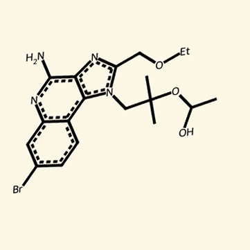 CCOCc1nc2c(N)nc3cc(Br)ccc3c2n1CC(C)(C)OC(C)O